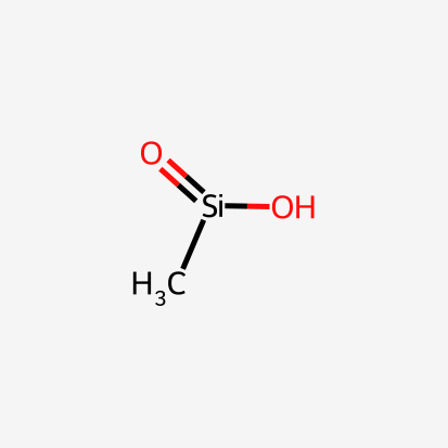 C[Si](=O)O